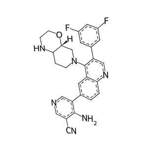 N#Cc1cncc(-c2ccc3ncc(-c4cc(F)cc(F)c4)c(N4CCC5NCCO[C@@H]5C4)c3c2)c1N